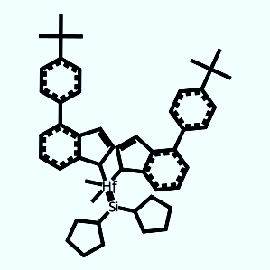 CC(C)(C)c1ccc(-c2cccc3c2C=C[CH]3[Hf]([CH3])([CH3])([CH]2C=Cc3c(-c4ccc(C(C)(C)C)cc4)cccc32)=[Si](C2CCCC2)C2CCCC2)cc1